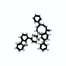 C=C1/C=C\C(c2ccccc2)=C/CN(c2nccc(-c3cccc4c3sc3ccccc34)n2)c2cc(-c3ccccc3)ccc21